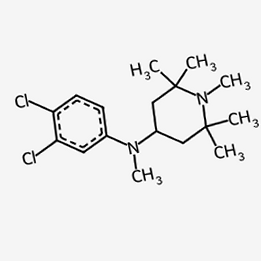 CN(c1ccc(Cl)c(Cl)c1)C1CC(C)(C)N(C)C(C)(C)C1